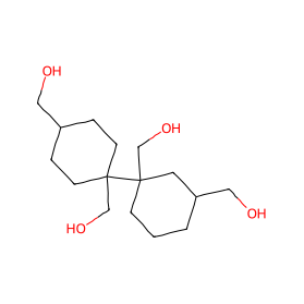 OCC1CCC(CO)(C2(CO)CCCC(CO)C2)CC1